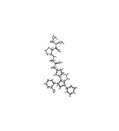 CN[C@@H](C)C(=O)N1CCC[C@@H]1CNC(=O)Nc1nc2c(s1)-c1c(c(-c3cncnc3)nn1-c1ccccc1Cl)CC2